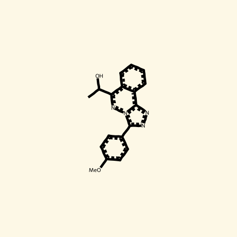 COc1ccc(-c2nnc3c4ccccc4c(C(C)O)nn23)cc1